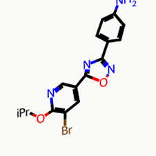 CC(C)Oc1ncc(-c2nc(-c3ccc(N)cc3)no2)cc1Br